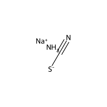 N.N#C[S-].[Na+]